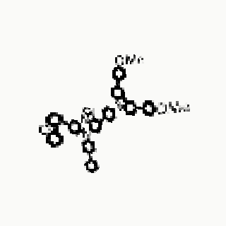 COc1ccc(-c2ccc3c(c2)c2cc(-c4ccc(OC)cc4)ccc2n3-c2ccc(-c3ccc(N(c4ccc(-c5ccccc5)cc4)c4ccc(-c5cccc6oc7ccccc7c56)cc4)c4nsnc34)cc2)cc1